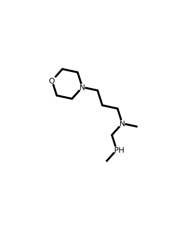 CPCN(C)CCCN1CCOCC1